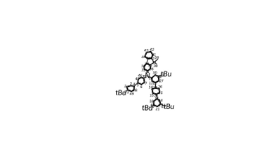 CC(C)(C)c1ccc(-c2ccc(N(c3cc(-c4ccc(-c5cc(C(C)(C)C)cc(C(C)(C)C)c5)cc4)cc(C(C)(C)C)c3)c3ccc4c(c3)C(C)(C)c3ccccc3-4)cc2)cc1